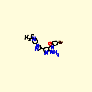 CN1CCC(n2cc(-c3cnc(N)c(-c4nc5cc(Br)ccc5o4)c3)cn2)CC1